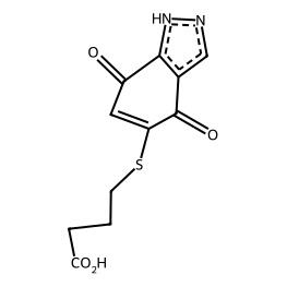 O=C(O)CCCSC1=CC(=O)c2[nH]ncc2C1=O